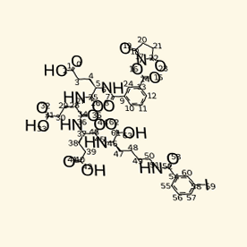 O=C(O)CC[C@@H](NC(=O)c1cccc(C(=O)ON2C(=O)CCC2=O)c1)C(=O)N[C@H](CCC(=O)O)C(=O)N[C@H](CCC(=O)O)C(=O)N[C@H](CCCCNC(=O)c1cccc(I)c1)C(=O)O